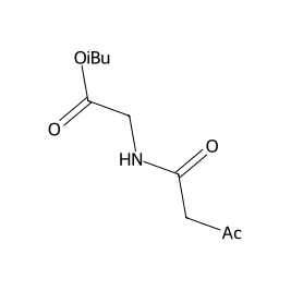 CC(=O)CC(=O)NCC(=O)OCC(C)C